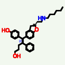 CCCCCCNCC[C@H]1Cc2cc(/C(=C(/CCCO)c3ccccc3)c3ccc(O)cc3)ccc2O1